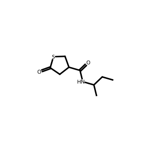 CCC(C)NC(=O)C1CSC(=O)C1